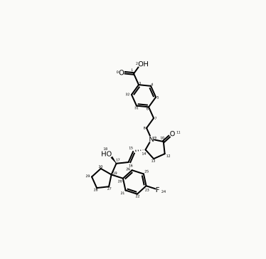 O=C(O)c1ccc(CCN2C(=O)CC[C@@H]2C=C[C@H](O)C2(c3ccc(F)cc3)CCCC2)cc1